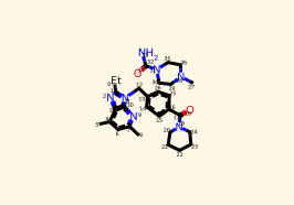 CCc1nc2c(C)cc(C)nc2n1Cc1ccc(C(=O)N2CCCCC2)cc1.CN1CCN(C(N)=O)CC1